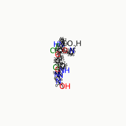 CC(CO)N1CCc2c(nc(C(=O)Nc3cccc(-c4cccc5c4CCC5Oc4cc(OCc5cccnc5)c(CNC5(C(=O)O)CCC5)c(F)c4Cl)c3Cl)n2C)C1